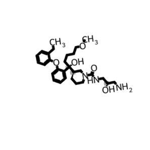 CCc1ccccc1Oc1ccccc1[C@](O)(CCCCOC)[C@@H]1CCCN(C(=O)NC[C@H](O)CN)C1